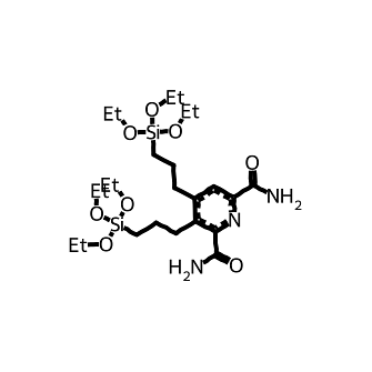 CCO[Si](CCCc1cc(C(N)=O)nc(C(N)=O)c1CCC[Si](OCC)(OCC)OCC)(OCC)OCC